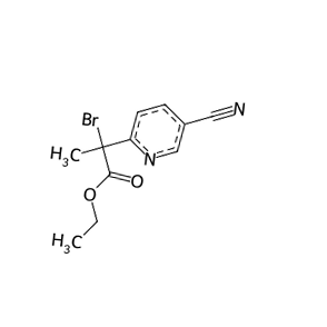 CCOC(=O)C(C)(Br)c1ccc(C#N)cn1